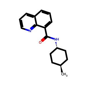 C[C@H]1CC[C@H](NC(=O)c2cccc3cccnc23)CC1